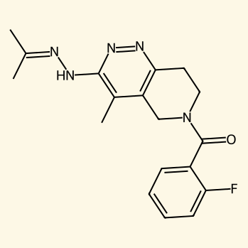 CC(C)=NNc1nnc2c(c1C)CN(C(=O)c1ccccc1F)CC2